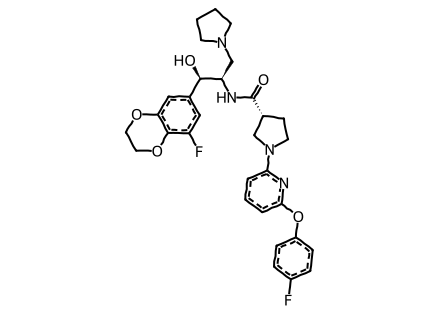 O=C(N[C@H](CN1CCCC1)[C@H](O)c1cc(F)c2c(c1)OCCO2)[C@@H]1CCN(c2cccc(Oc3ccc(F)cc3)n2)C1